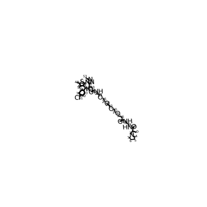 C=C(CN1CCCC1)C(=O)NCCNC(=O)CCOCCOCCOCCOCCNC(=O)C[C@H]1N=C(c2ccc(Cl)cc2)c2c(sc(C)c2C)-n2c(C)nnc21